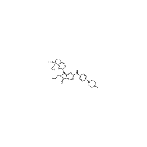 C=CCn1c(=O)c2cnc(Nc3ccc(N4CCN(C)CC4)cc3)nc2n1-c1ccc2c(n1)C(O)(C1CC1)CC2